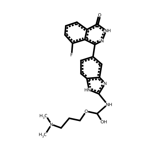 CN(C)CCCOC(O)Nc1nc2cc(-c3n[nH]c(=O)c4cccc(F)c34)ccc2[nH]1